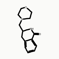 O=C1NC(CN2CCOCC2)Cc2ccccc21